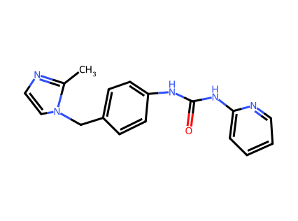 Cc1nccn1Cc1ccc(NC(=O)Nc2ccccn2)cc1